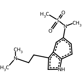 CN(C)CCc1c[nH]c2ccc(N(C)S(C)(=O)=O)cc12